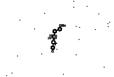 COc1cccc(-c2cccc(C(=O)N[C@@H](C(=O)N3CC[C@H](c4ccc(Cl)cc4)C(C)(C)C3)C(C)C)c2)c1